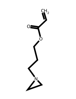 C=CC(=O)OCCCN1CC1